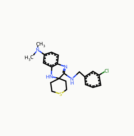 CN(C)c1ccc2c(c1)NC1(CCSCC1)C(NCc1cccc(Cl)c1)=N2